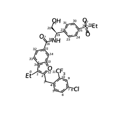 CCc1c(Cc2ccc(Cl)cc2C(F)(F)F)oc2cc(C(=O)N[C@@H](CO)c3ccc(S(=O)(=O)CC)cc3)ccc12